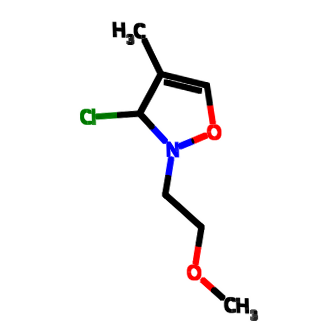 COCCN1OC=C(C)C1Cl